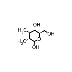 C[C@H]1[C@H](O)[C@@H](CO)OC(O)[C@@H]1C